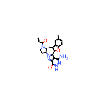 C=CC(=O)N1CCC(n2nc3c(=O)[nH]nc(N)c3c2-c2oc3ccc(C)cc3c2C)C1